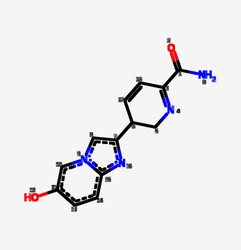 NC(=O)C1=NCC(c2cn3cc(O)ccc3n2)C=C1